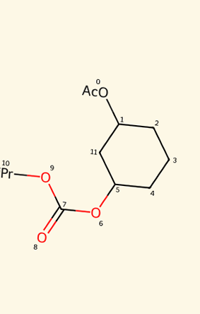 CC(=O)OC1CCCC(OC(=O)OC(C)C)C1